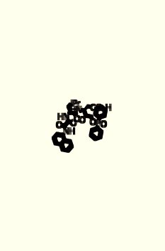 CC(C)C[C@H](NC(=O)C(=O)Nc1cccc2ccccc12)C(=O)N[C@@H](CC(=O)O)C(=O)COP(=O)(c1ccccc1)c1ccccc1